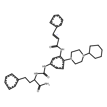 NC(=O)C(CCc1ccccc1)NC(=O)Nc1ccc(N2CCN(C3CCCCC3)CC2)c(NC(=O)/C=C/c2ccccc2)c1